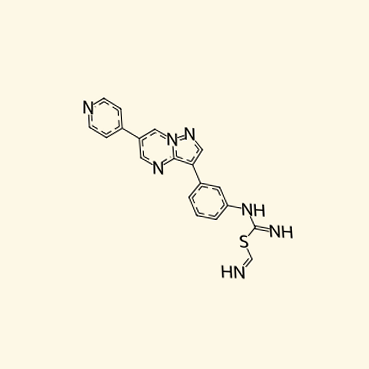 N=CSC(=N)Nc1cccc(-c2cnn3cc(-c4ccncc4)cnc23)c1